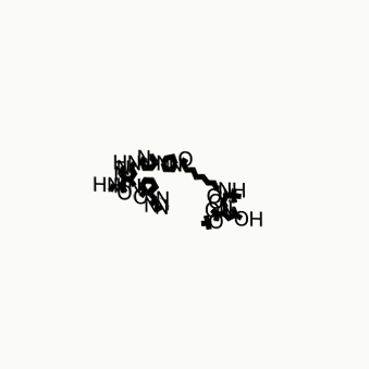 CNC(=O)c1nnc(Nc2ccc(N3CCN(C(=O)CCCCCCC(=O)N[C@H](C(=O)N4CC(O)CC4C(=O)OC(C)(C)C)C(C)(C)C)CC3)cn2)cc1Nc1cccc(-c2ncn(C)n2)c1OC